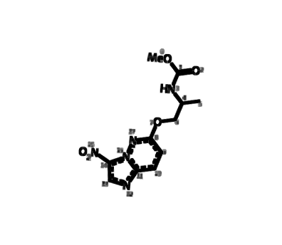 COC(=O)NC(C)COc1ccc2ncc([N+](=O)[O-])n2n1